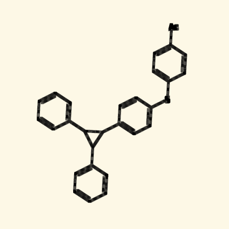 CC(=O)c1ccc(Sc2ccc(C3C(c4ccccc4)C3c3ccccc3)cc2)cc1